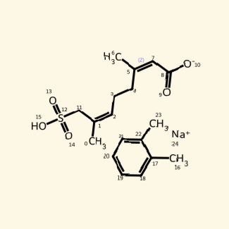 CC(=CCC/C(C)=C\C(=O)[O-])CS(=O)(=O)O.Cc1ccccc1C.[Na+]